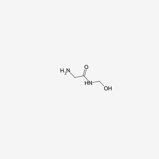 NCC(=O)NCO